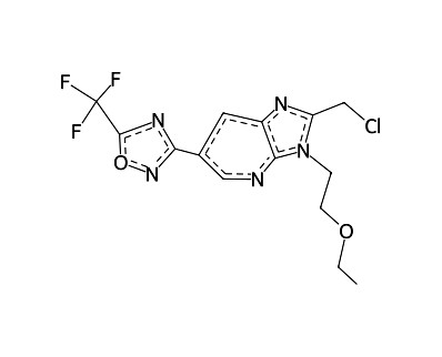 CCOCCn1c(CCl)nc2cc(-c3noc(C(F)(F)F)n3)cnc21